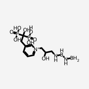 BNBNCC(O)C[n+]1cccc(CC(O)(P(=O)(O)O)P(=O)(O)O)c1